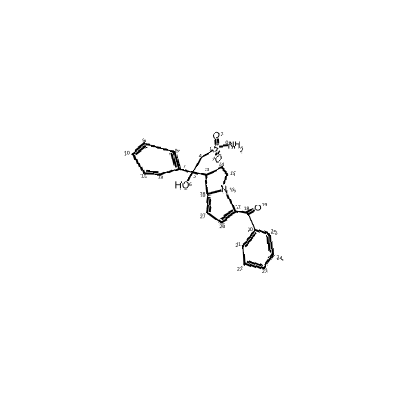 NS(=O)(=O)CC(O)(c1ccccc1)C1CCn2c(C(=O)c3ccccc3)ccc21